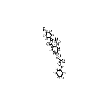 Nc1nc(OCC(=O)OCc2ccccc2)ncc1C(=O)Nc1ccc(F)cc1